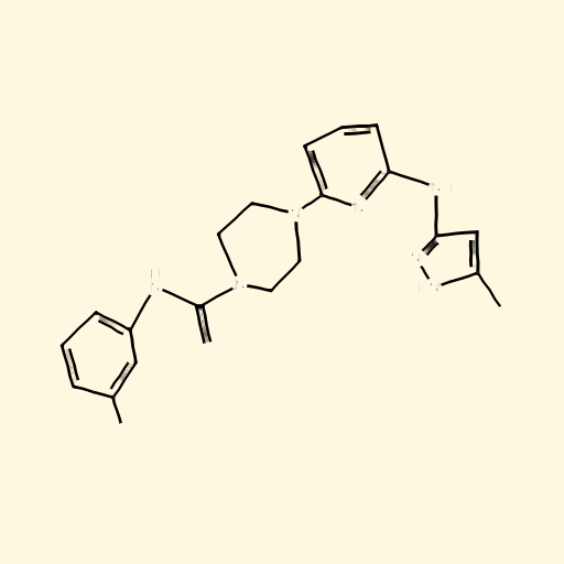 Cc1cc(Nc2cccc(N3CCN(C(=O)Nc4cccc(Cl)c4)CC3)n2)n[nH]1